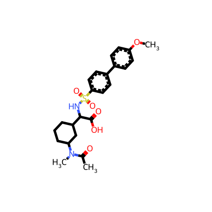 COc1ccc(-c2ccc(S(=O)(=O)NC(C(=O)O)C3CCCC(N(C)C(C)=O)C3)cc2)cc1